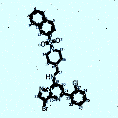 O=S(=O)(c1ccc2ccccc2c1)N1CCC(CNc2cc(-c3ccccc3Cl)nc3c(Br)cnn23)CC1